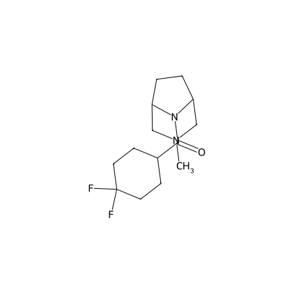 CN1CC2CCC(C1)N2C(=O)C1CCC(F)(F)CC1